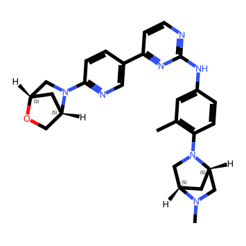 Cc1cc(Nc2nccc(-c3ccc(N4C[C@@H]5C[C@H]4CO5)nc3)n2)ccc1N1C[C@@H]2C[C@H]1CN2C